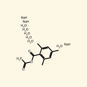 Cc1cc(C)c(C(=O)OC(=O)P)c(C)c1.O.O.O.O.O.O.[NaH].[NaH].[NaH]